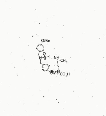 COc1ccc(CN(Cc2ccc(OC)cc2)S(=O)(=O)CCN[C@H](C)CCN(C(=O)O)C(C)(C)C)cc1